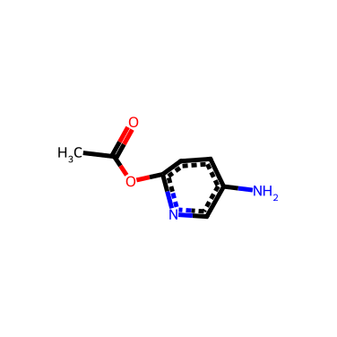 CC(=O)Oc1ccc(N)cn1